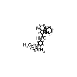 CC1CN(c2cccc(NC(=O)C3CC4C(F)CCC(C)C4(C4CCCCCC4)N3)c2)C(C)CO1